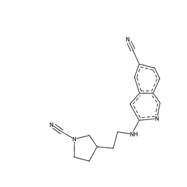 N#Cc1ccc2cnc(NCCC3CCN(C#N)C3)cc2c1